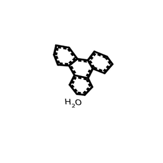 O.c1ccc2c(c1)c1ccccc1c1ccccc21